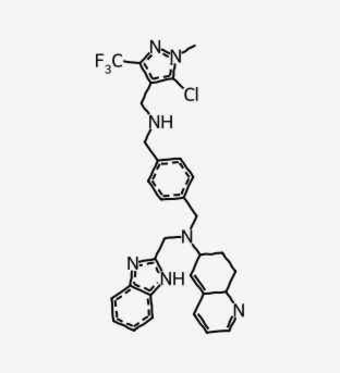 Cn1nc(C(F)(F)F)c(CNCc2ccc(CN(Cc3nc4ccccc4[nH]3)C3C=C4C=CC=NC4CC3)cc2)c1Cl